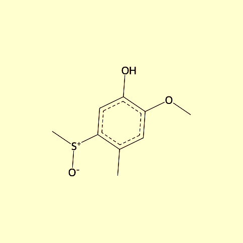 COc1cc(C)c([S+](C)[O-])cc1O